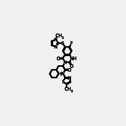 Cc1cnc(NC(=O)C(CC2CCCCC2)n2c(=O)[nH]c3cc(F)c(Sc4nccn4C)cc3c2=O)s1